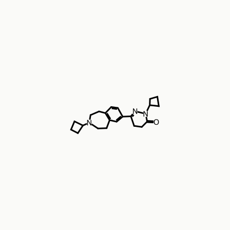 O=C1CCC(c2ccc3c(c2)CCN(C2CCC2)CC3)=NN1C1CCC1